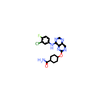 NC(=O)C1CCC(Oc2ncc3ncnc(Nc4ccc(F)c(Cl)c4)c3n2)CC1